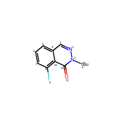 CC(C)(C)n1ncc2cccc(F)c2c1=O